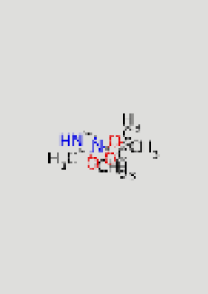 COC1C(C)NCCN1C(=O)OC(C)(C)C